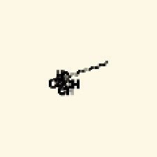 CCCCCCCCCCCCO[C@H]1[C@H](O)[C@@H](O)C2OC[C@H]1O2